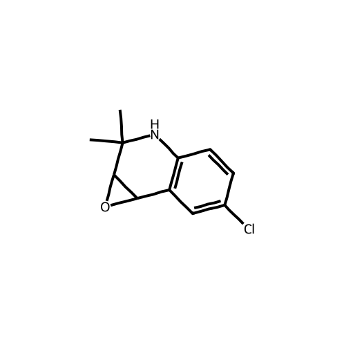 CC1(C)Nc2ccc(Cl)cc2C2OC21